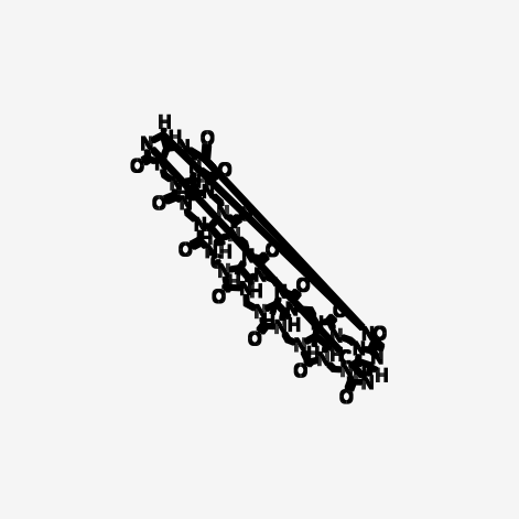 O=C1N2CN3C(=O)N4CN5C(=O)N6CN7C(=O)N8CN9C(=O)N%10CN%11C(=O)N%12CN%13C(=O)N%14CN1[C@H]1[C@@H]2N2CN%15C(=O)N(CN%16C(=O)N(CN%17C(=O)N(CN%18C(=O)N(CN%19C(=O)N(CN%20C(=O)N(CN1C2=O)[C@H]%14[C@@H]%20%13)[C@H]%12[C@@H]%19%11)[C@H]%10[C@@H]%189)[C@H]8[C@@H]%177)[C@H]6[C@@H]%165)[C@H]4[C@@H]%153